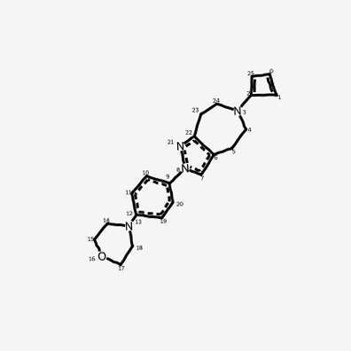 C1=CC(N2CCc3cn(-c4ccc(N5CCOCC5)cc4)nc3CC2)=C1